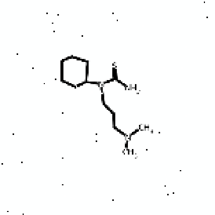 CN(C)CCCN(C(N)=S)C1CCCCC1